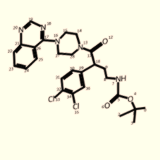 CC(C)(C)OC(=O)NCCC(C(=O)N1CCN(c2ncnc3ccccc23)CC1)c1ccc(Cl)c(Cl)c1